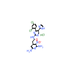 Cl.Nc1cc(CCNc2ncc(-c3ncc[nH]3)c(-c3ccc(Cl)cc3Cl)n2)c([N+](=O)[O-])c(N)n1